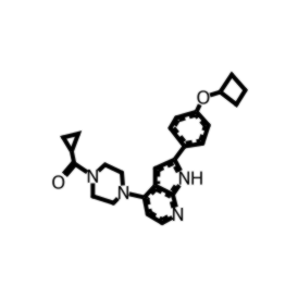 O=C(C1CC1)N1CCN(c2ccnc3[nH]c(-c4ccc(OC5CCC5)cc4)cc23)CC1